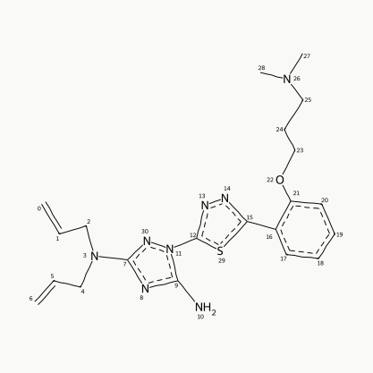 C=CCN(CC=C)c1nc(N)n(-c2nnc(-c3ccccc3OCCCN(C)C)s2)n1